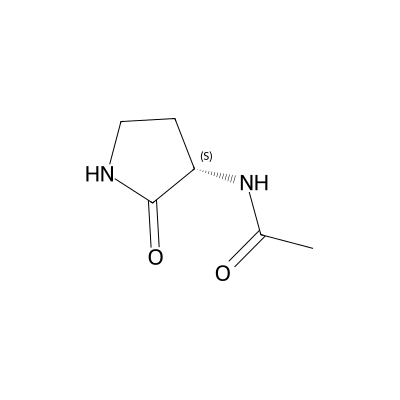 CC(=O)N[C@H]1CCNC1=O